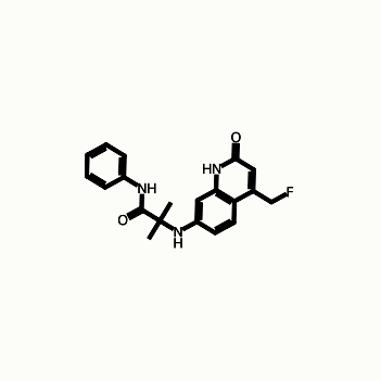 CC(C)(Nc1ccc2c(CF)cc(=O)[nH]c2c1)C(=O)Nc1ccccc1